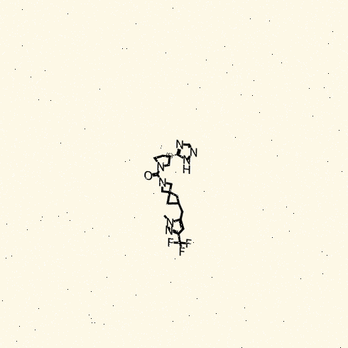 Cn1nc(C(F)(F)F)cc1CC1CC2(C1)CN(C(=O)N1CC[C@H](c3ncn[nH]3)C1)C2